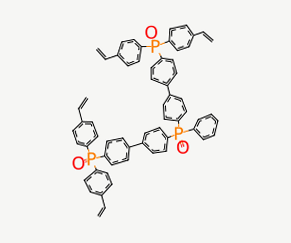 C=Cc1ccc(P(=O)(c2ccc(C=C)cc2)c2ccc(-c3ccc(P(=O)(c4ccccc4)c4ccc(-c5ccc(P(=O)(c6ccc(C=C)cc6)c6ccc(C=C)cc6)cc5)cc4)cc3)cc2)cc1